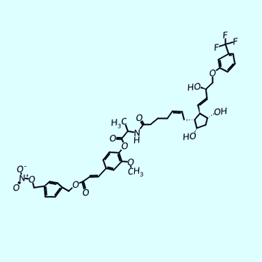 COc1cc(/C=C/C(=O)OCc2ccc(CO[N+](=O)[O-])cc2)ccc1OC(=O)C(C)NC(=O)CCC/C=C\C[C@@H]1[C@@H](/C=C/[C@@H](O)COc2cccc(C(F)(F)F)c2)[C@H](O)C[C@@H]1O